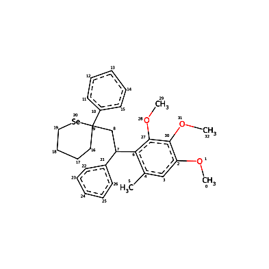 COc1cc(C)c(C(CC2(c3ccccc3)CCCC[Se]2)c2ccccc2)c(OC)c1OC